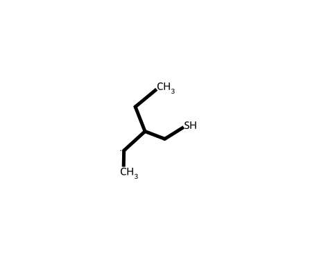 C[CH]C(CC)CS